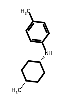 Cc1ccc(N[C@H]2CC[C@@H](C)CC2)cc1